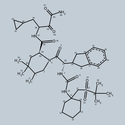 CC1CN(C(=O)[C@@H](NC(=O)NC2(CS(=O)(=O)C(C)(C)C)CCCCC2)C2Cc3ccccc3C2)[C@H](C(=O)NC(CC2CC2)C(=O)C(N)=O)CC1(C)C